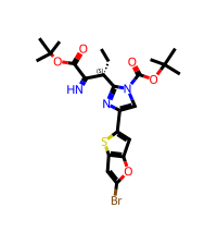 CC[C@@H](C(=N)C(=O)OC(C)(C)C)c1nc(-c2cc3oc(Br)cc3s2)cn1C(=O)OC(C)(C)C